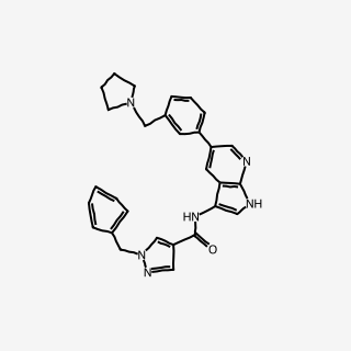 O=C(Nc1c[nH]c2ncc(-c3cccc(CN4CCCC4)c3)cc12)c1cnn(Cc2ccccc2)c1